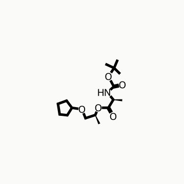 C[C@H](NC(=O)OC(C)(C)C)C(=O)O[C@@H](C)COC1CCCC1